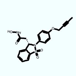 CC#CCOc1ccc(N2[C@@H](CC(=O)NO)c3ccccc3S2(=O)=O)cc1